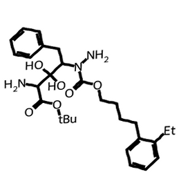 CCc1ccccc1CCCCOC(=O)N(N)C(Cc1ccccc1)C(O)(O)C(N)C(=O)OC(C)(C)C